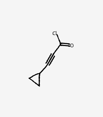 O=C(Cl)C#CC1CC1